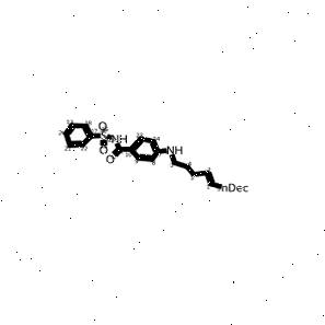 CCCCCCCCCCC=CCCCNc1ccc(C(=O)NS(=O)(=O)c2ccccc2)cc1